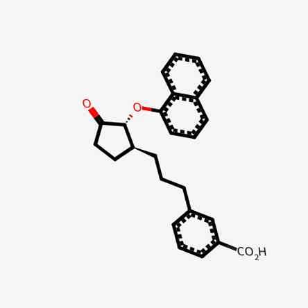 O=C(O)c1cccc(CCC[C@H]2CCC(=O)[C@@H]2Oc2cccc3ccccc23)c1